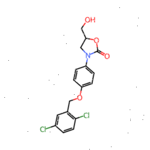 O=C1OC(CO)CN1c1ccc(OCc2cc(Cl)ccc2Cl)cc1